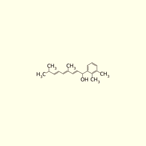 CC(/C=C/C(O)c1cccc(C)c1C)=C\C=C\C(C)C